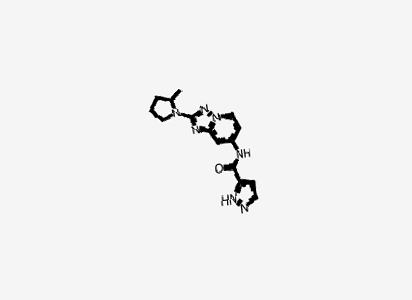 CC1CCCN1c1nc2cc(NC(=O)c3ccn[nH]3)ccn2n1